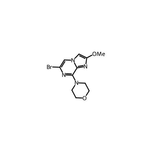 COc1cn2cc(Br)nc(N3CCOCC3)c2n1